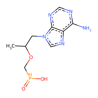 CC(Cn1cnc2c(N)ncnc21)OC[PH](=O)O